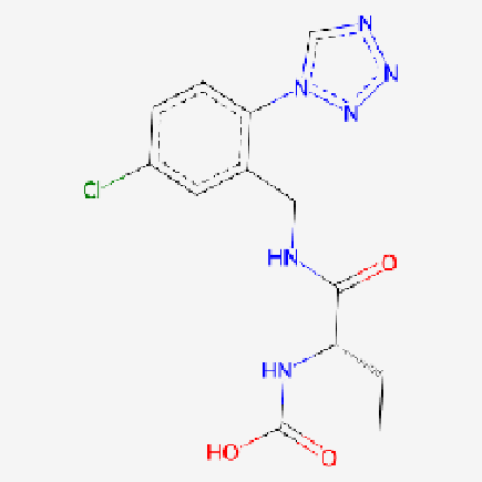 CC[C@H](NC(=O)O)C(=O)NCc1cc(Cl)ccc1-n1cnnn1